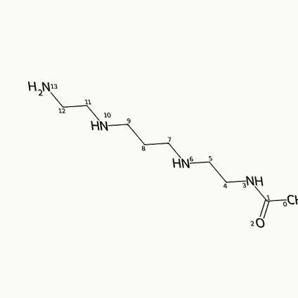 CC(=O)NCCNCCCNCCN